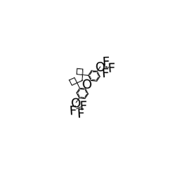 O=C(C1(c2cccc(OC(F)(F)F)c2)CCC1)C1(c2cccc(OC(F)(F)F)c2)CCC1